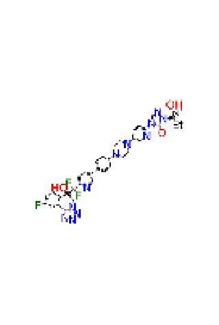 CC[C@@H]([C@H](C)O)n1ncn(-c2ccc(N3CCN(c4ccc(-c5ccc(C(F)(F)[C@]6(O)Cn7nnnc7-c7cc(F)ccc76)nc5)cc4)CC3)cn2)c1=O